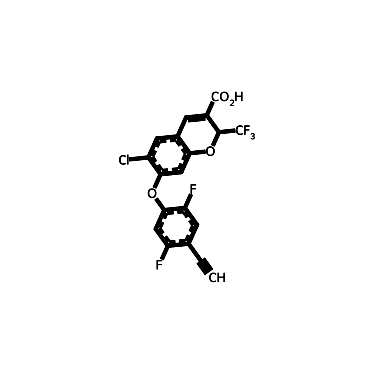 C#Cc1cc(F)c(Oc2cc3c(cc2Cl)C=C(C(=O)O)C(C(F)(F)F)O3)cc1F